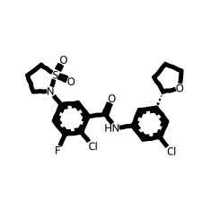 O=C(Nc1cc(Cl)cc([C@@H]2CCCO2)c1)c1cc(N2CCCS2(=O)=O)cc(F)c1Cl